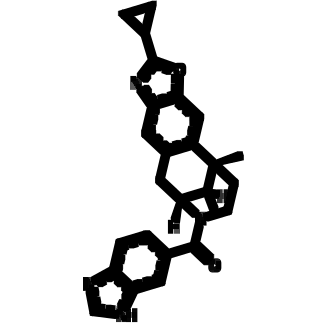 C[C@@H]1[C@H]2Cc3cc4nc(C5CC5)oc4cc3[C@]1(C)CCN2C(=O)c1ccc2nc[nH]c2c1